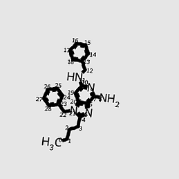 CCCCc1nc2c(N)nc(NCc3ccccc3)cc2n1Cc1ccccc1